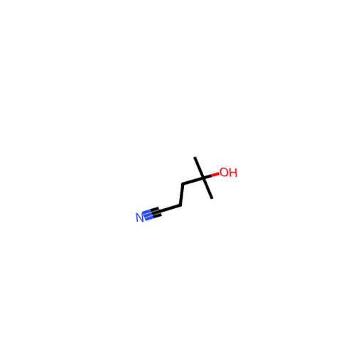 CC(C)(O)CCC#N